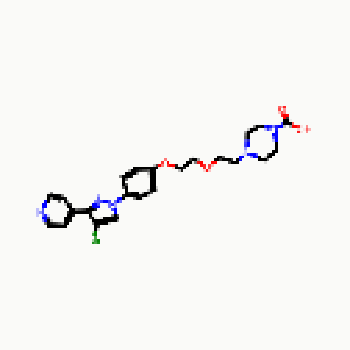 O=C(O)N1CCN(CCOCCOc2ccc(-n3cc(Br)c(-c4ccncc4)n3)cc2)CC1